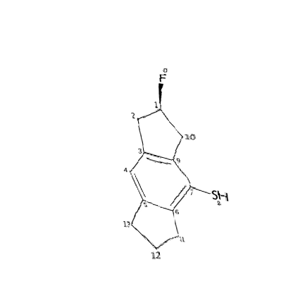 F[C@@H]1Cc2cc3c(c(S)c2C1)CCC3